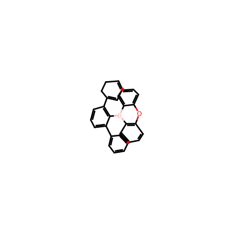 c1ccc2c(c#1)B(c1c(C3=CC=CCC3)cccc1-c1ccccc1)c1ccccc1O2